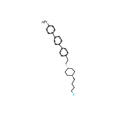 CCCc1ccc(-c2ccc(-c3ccc(CC[C@H]4CC[C@H](CCCCF)CC4)cc3)cc2)cc1